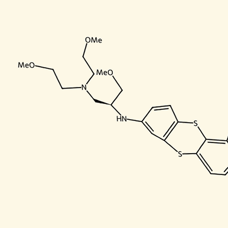 COCCN(CCOC)C[C@@H](COC)Nc1ccc2c(c1)Sc1cccc(Br)c1S2